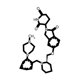 CN1CCN(c2ccccc2CN2CCCC[C@@H]2COc2ccc3c(c2)CN(C2CCC(=O)NC2=O)C3=O)CC1